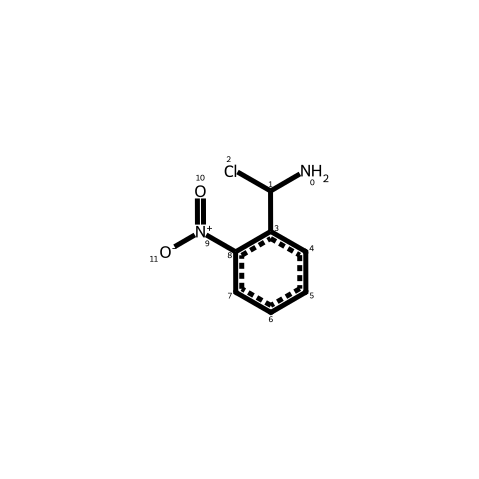 NC(Cl)c1ccccc1[N+](=O)[O-]